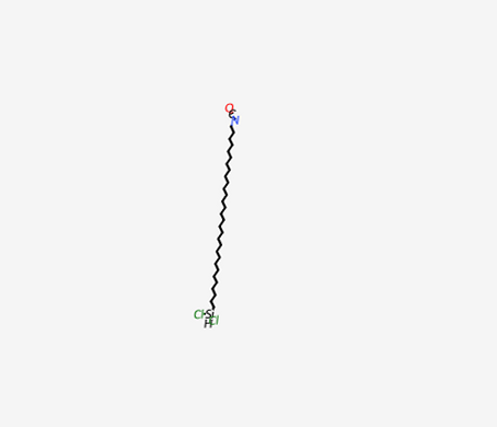 O=C=NCCCCCCCCCCCCCCCCCCCCCCCCCCCCCC[SiH](Cl)Cl